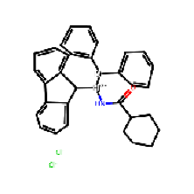 O=C([NH][Hf+2]([CH]1c2ccccc2-c2ccccc21)[SiH](c1ccccc1)c1ccccc1)C1CCCCC1.[Cl-].[Cl-]